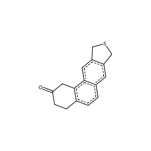 O=C1CCc2ccc3cc4c(cc3c2C1)CSC4